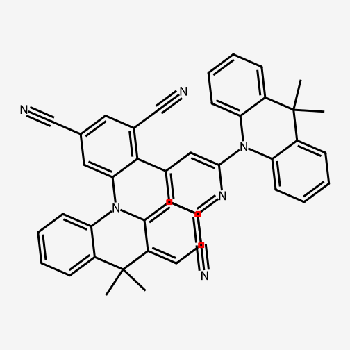 CC1(C)c2ccccc2N(c2cc(-c3c(C#N)cc(C#N)cc3N3c4ccccc4C(C)(C)c4ccccc43)cc(C#N)n2)c2ccccc21